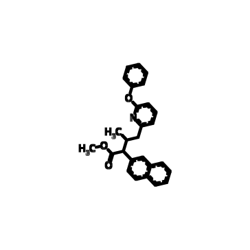 COC(=O)C(c1ccc2ccccc2c1)C(C)Cc1cccc(Oc2ccccc2)n1